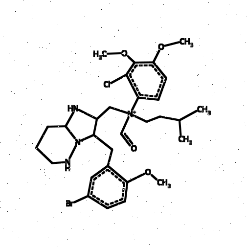 COc1ccc(Br)cc1CC1C(C[N+](C=O)(CCC(C)C)c2ccc(OC)c(OC)c2Cl)NC2CCCNN21